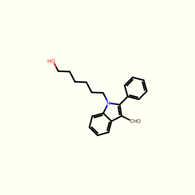 O=Cc1c(-c2ccccc2)n(CCCCCCO)c2ccccc12